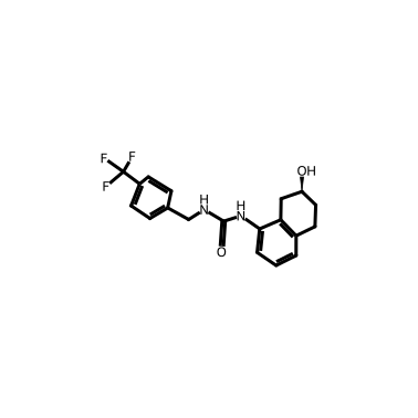 O=C(NCc1ccc(C(F)(F)F)cc1)Nc1cccc2c1C[C@@H](O)CC2